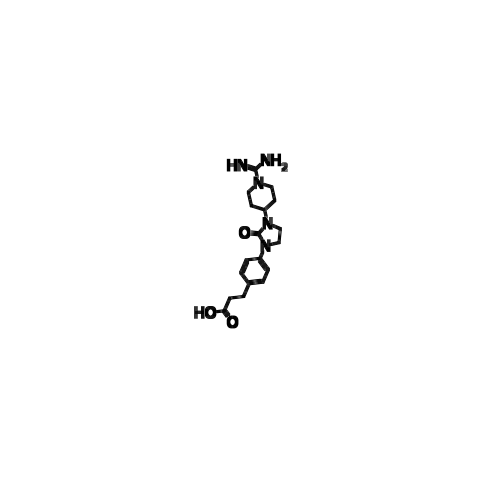 N=C(N)N1CCC(N2CCN(c3ccc(CCC(=O)O)cc3)C2=O)CC1